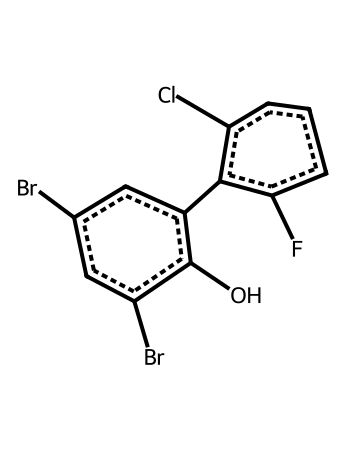 Oc1c(Br)cc(Br)cc1-c1c(F)cccc1Cl